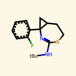 CC(C)(C)NC1=NC2(c3ccccc3F)CC2CCS1